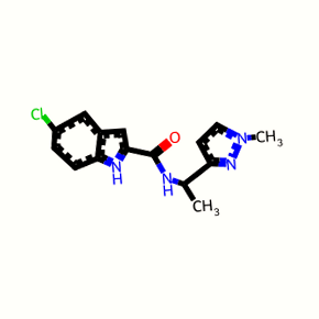 CC(NC(=O)c1cc2cc(Cl)ccc2[nH]1)c1ccn(C)n1